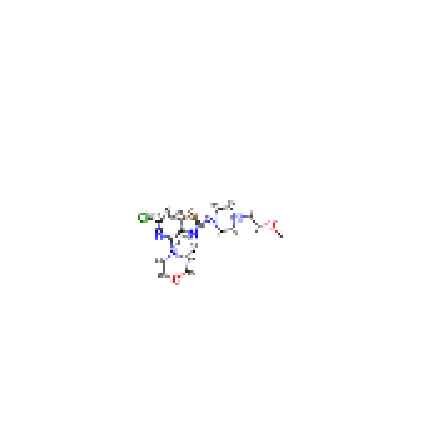 COCCN1CCN(c2nc3c(N4CCOC[C@@H]4C)nc(Cl)cc3s2)CC1